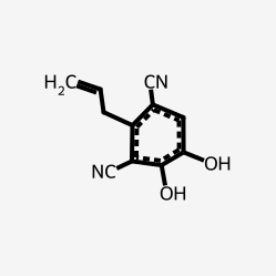 C=CCc1c(C#N)cc(O)c(O)c1C#N